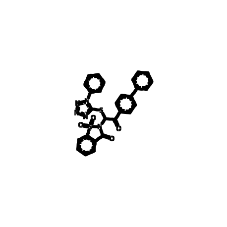 O=C(c1ccc(-c2ccccc2)cc1)C(Sc1nnnn1-c1ccccc1)N1C(=O)c2ccccc2S1(=O)=O